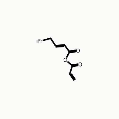 C=CC(=O)OC(=O)C=CCC(C)C